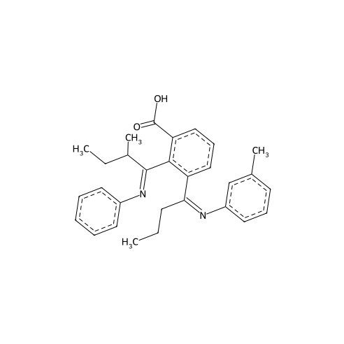 CCCC(=Nc1cccc(C)c1)c1cccc(C(=O)O)c1C(=Nc1ccccc1)C(C)CC